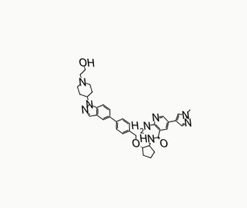 Cn1cc(-c2cnc(N)c(C(=O)N[C@H]3CCC[C@@H]3OCc3ccc(-c4ccc5c(cnn5C5CCN(CCO)CC5)c4)cc3)c2)cn1